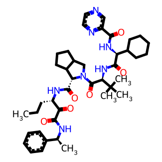 CCC[C@H](NC(=O)[C@@H]1C2CCCC2CN1C(=O)[C@@H](NC(=O)[C@@H](NC(=O)c1cnccn1)C1CCCCC1)C(C)(C)C)C(=O)C(=O)N[C@@H](C)c1ccccc1